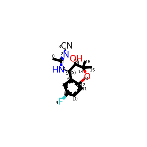 CC(=NC#N)N[C@H]1c2cc(F)ccc2OC(C)(C)[C@@H]1O